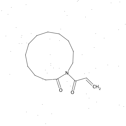 C=CC(=O)N1CCCCCCCCCCCC1=O